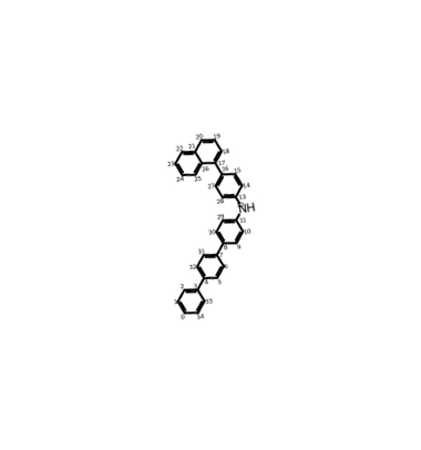 c1ccc(-c2ccc(-c3ccc(Nc4ccc(-c5cccc6ccccc56)cc4)cc3)cc2)cc1